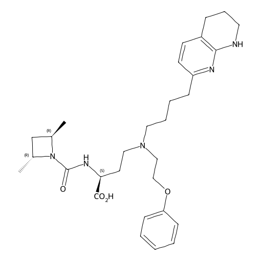 C[C@@H]1C[C@@H](C)N1C(=O)N[C@@H](CCN(CCCCc1ccc2c(n1)NCCC2)CCOc1ccccc1)C(=O)O